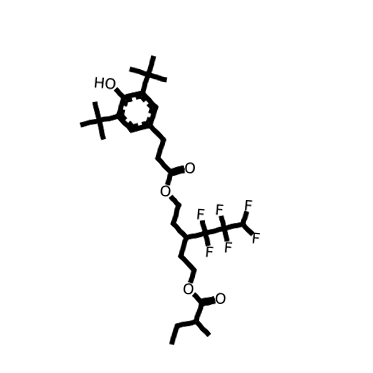 CCC(C)C(=O)OCCC(CCOC(=O)CCc1cc(C(C)(C)C)c(O)c(C(C)(C)C)c1)C(F)(F)C(F)(F)C(F)F